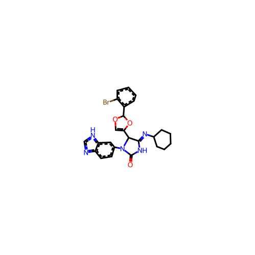 O=C1NC(=NC2CCCCC2)C(C2=COC(c3ccccc3Br)O2)N1c1ccc2nc[nH]c2c1